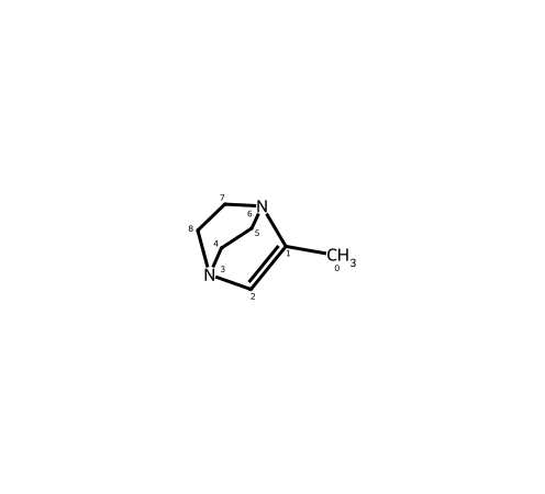 CC1=CN2CCN1CC2